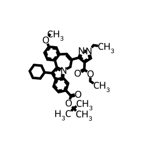 CCOC(=O)c1cn(CC)nc1C1=Cc2cc(OC)ccc2-c2c(C3CCCCC3)c3ccc(C(=O)OC(C)(C)C)cc3n2C1